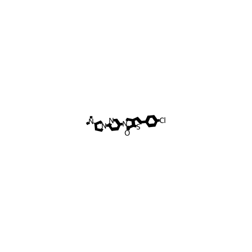 CN(C)[C@H]1CCN(c2ccc(N3Cc4cc(-c5ccc(Cl)cc5)sc4C3=O)cn2)C1